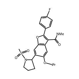 CNC(=O)c1c(-c2ccc(F)cc2)oc2cc(C3CCCN3S(C)(=O)=O)c(OC(C)C)cc12